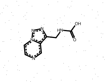 O=C(O)NCc1nnn2ccncc12